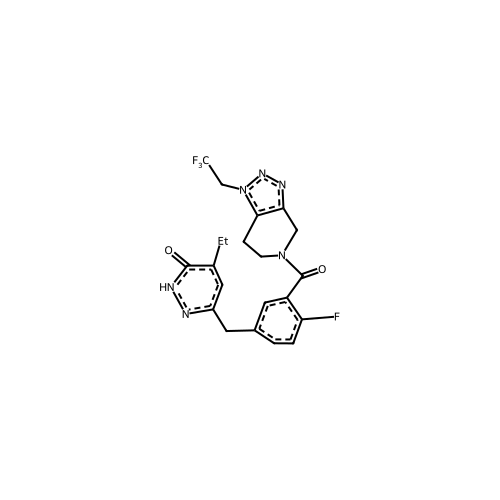 CCc1cc(Cc2ccc(F)c(C(=O)N3CCc4c(nnn4CC(F)(F)F)C3)c2)n[nH]c1=O